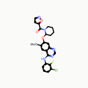 COc1cc2c(Nc3cccc(Cl)c3F)ncnc2cc1OC1CCCCN1C(=O)c1ccno1